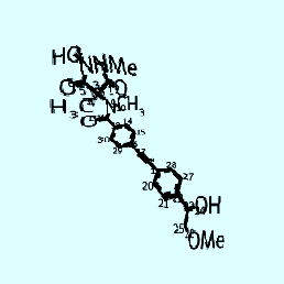 CNC(=O)[C@@](C)(C(=O)NO)N(C)C(=O)c1ccc(C#Cc2ccc(C(O)COC)cc2)cc1